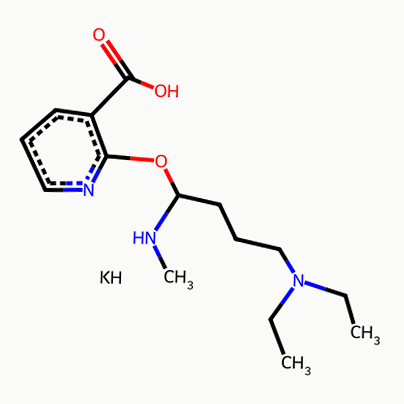 CCN(CC)CCCC(NC)Oc1ncccc1C(=O)O.[KH]